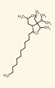 CCCCCCCCCCCCP(CC(C)C)C(CC)(N(C)C)N(C)C